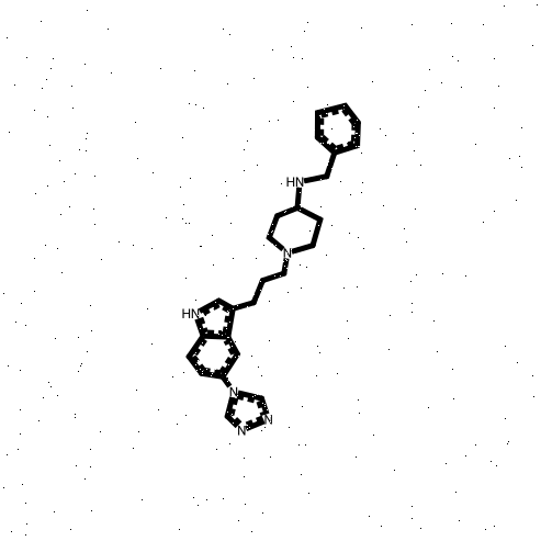 c1ccc(CNC2CCN(CCCc3c[nH]c4ccc(-n5cnnc5)cc34)CC2)cc1